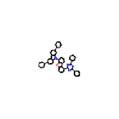 C1=CC(c2ccc3c(c2)c2ccc(-c4ccccc4)cc2n3-c2cccc3c2oc2cccc(-c4nc(-c5ccccc5)nc(-c5ccccc5)n4)c23)=CCC1